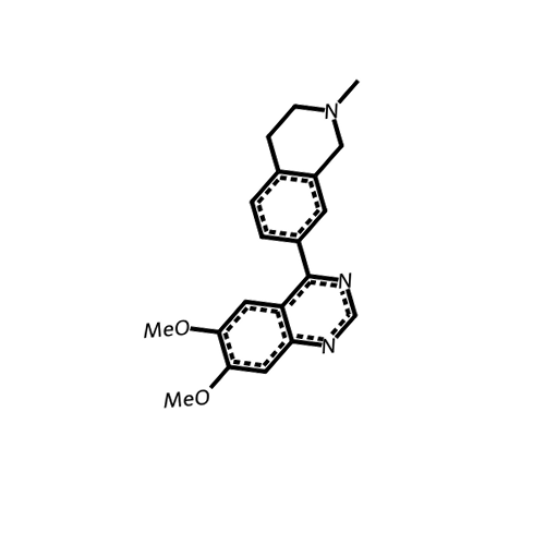 COc1cc2ncnc(-c3ccc4c(c3)CN(C)CC4)c2cc1OC